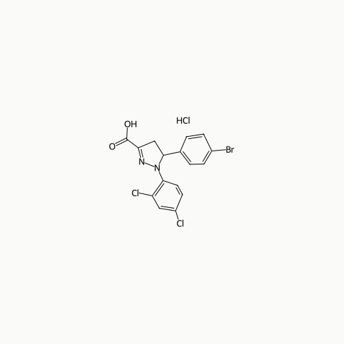 Cl.O=C(O)C1=NN(c2ccc(Cl)cc2Cl)C(c2ccc(Br)cc2)C1